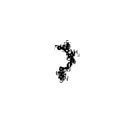 C[C@H](Oc1cc(-c2nn(C)c3c(-c4cnn(C5CCN(C(=O)COc6cccc7c6C(=O)N(C6CCC(=O)NC6=O)C7=O)CC5)c4)cnc(N)c23)ccc1NS(=O)(=O)C(F)F)c1ccc(F)cc1